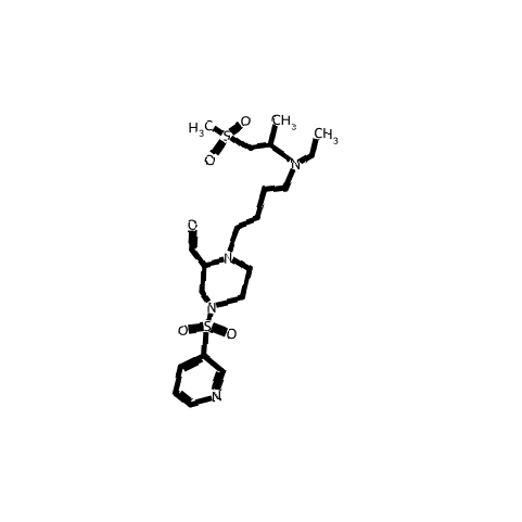 CCN(CCCCN1CCN(S(=O)(=O)c2cccnc2)CC1C=O)C(C)CS(C)(=O)=O